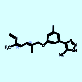 C=N/C(=C\C=C(/C)COc1cc(C)cc(-c2nn[nH]c2C#N)c1)C(F)(F)F